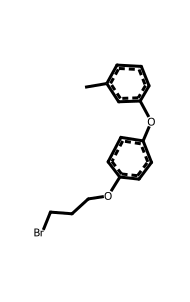 Cc1cccc(Oc2ccc(OCCCBr)cc2)c1